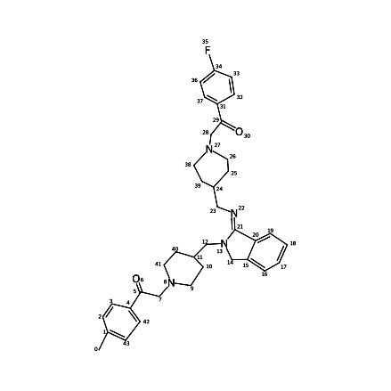 Cc1ccc(C(=O)CN2CCC(CN3Cc4ccccc4C3=NCC3CCN(CC(=O)c4ccc(F)cc4)CC3)CC2)cc1